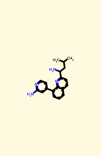 CC(C)CC(N)c1ccc2cccc(-c3ccnc(N)c3)c2n1